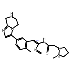 C=N/C(=C\c1cc(-c2cnc3n2CCNC3)ccc1C)NC(=O)CN1CCC[C@H]1C